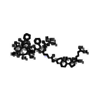 CC(=O)O[C@@]12CO[C@@H]1C[C@H](C)[C@@]1(C)C(=O)[C@H](C)C3=C(C)[C@@H](OC(=O)[C@H](OC(=O)/C=C/CC(=O)O[C@H]4CC[C@@]5(C)C(=CCC6C5CC[C@@]5(C)C6CC[C@@H]5[C@H](C)CCCC(C)C)C4)[C@@H](NC(=O)OC(C)(C)C)c4ccccc4)C[C@@](O)([C@@H](OC(=O)c4ccccc4)[C@H]21)C3(C)C